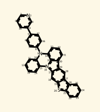 c1cncc(-c2ccc(N3c4ccccc4-n4c5cc6sc7ccccc7c6cc5c5cccc3c54)cc2)c1